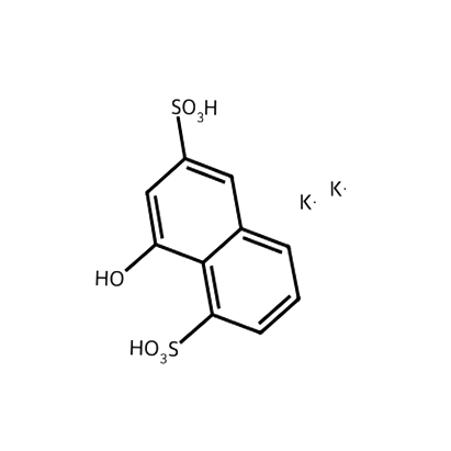 O=S(=O)(O)c1cc(O)c2c(S(=O)(=O)O)cccc2c1.[K].[K]